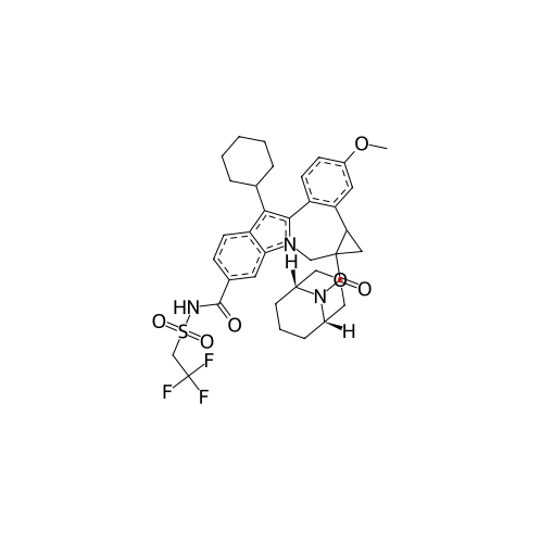 COc1ccc2c(c1)C1CC1(C(=O)N1[C@@H]3CCC[C@H]1COC3)Cn1c-2c(C2CCCCC2)c2ccc(C(=O)NS(=O)(=O)CC(F)(F)F)cc21